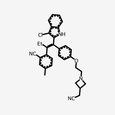 CC/C(=C(/c1ccc(OCCN2CC(CC#N)C2)cc1)c1[nH]c2ccccc2c1Cl)c1ccc(C)cc1C#N